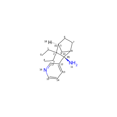 CCC1(CC)[C@H]2CCC(C2)[C@]1(N)c1cccnc1